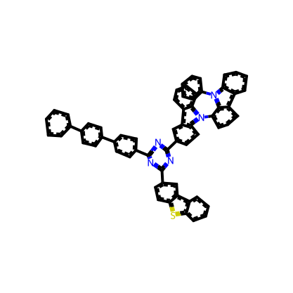 c1ccc(-c2ccc(-c3ccc(-c4nc(-c5ccc6sc7ccccc7c6c5)nc(-c5ccc6c(c5)c5ccccc5n6-c5cccc6c7ccccc7n(-c7ccccc7)c56)n4)cc3)cc2)cc1